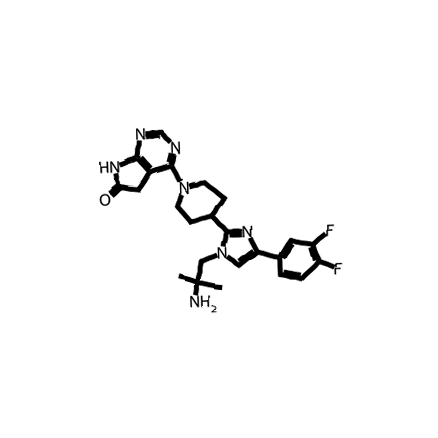 CC(C)(N)Cn1cc(-c2ccc(F)c(F)c2)nc1C1CCN(c2ncnc3c2CC(=O)N3)CC1